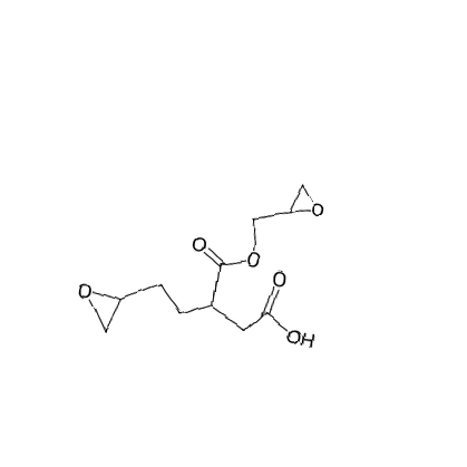 O=C(O)CC(CCC1CO1)C(=O)OCC1CO1